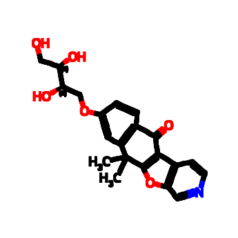 CC1(C)c2cc(OC[C@@H](O)[C@H](O)CO)ccc2C(=O)c2c1oc1cnccc21